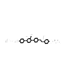 CCCCCc1ccc(-c2ccc(-c3ccc(/C=C/c4ccc(OC)cc4F)cc3)c(F)c2F)cc1